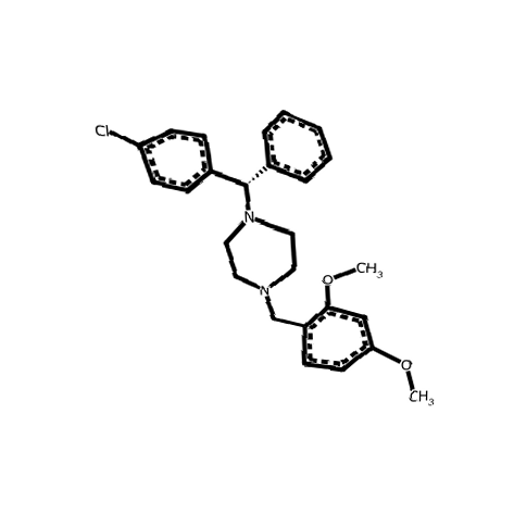 COc1ccc(CN2CCN([C@@H](c3ccccc3)c3ccc(Cl)cc3)CC2)c(OC)c1